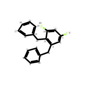 Fc1[c]c(Cc2ccccc2)c(Cc2ccccc2)c(F)c1